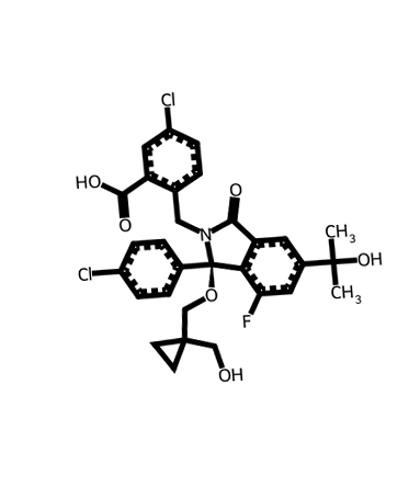 CC(C)(O)c1cc(F)c2c(c1)C(=O)N(Cc1ccc(Cl)cc1C(=O)O)[C@@]2(OCC1(CO)CC1)c1ccc(Cl)cc1